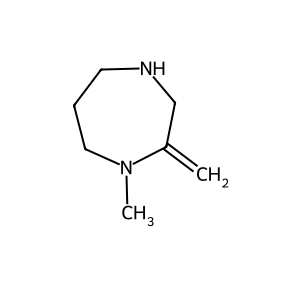 C=C1CNCCCN1C